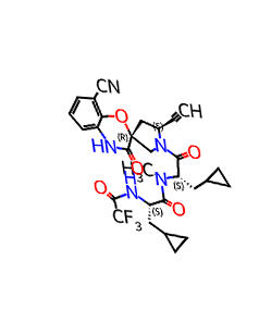 C#C[C@@H]1C[C@]2(CN1C(=O)[C@H](CC1CC1)N(C)C(=O)[C@H](CC1CC1)NC(=O)C(F)(F)F)Oc1c(C#N)cccc1NC2=O